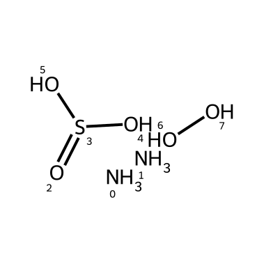 N.N.O=S(O)O.OO